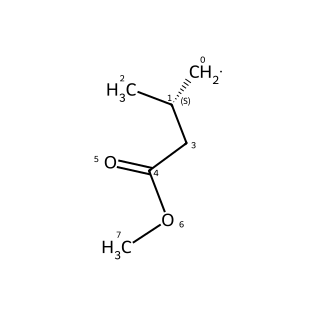 [CH2][C@@H](C)CC(=O)OC